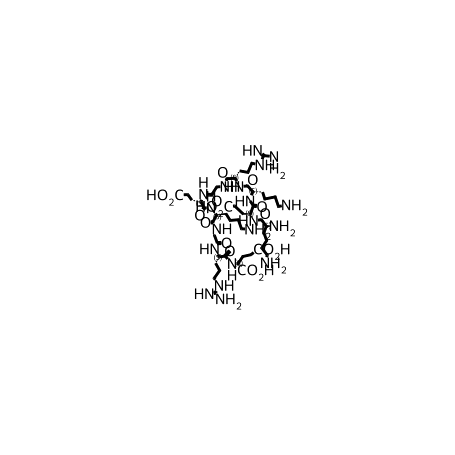 N=C(N)NCCC[C@H](NC(=O)CNC(=O)[C@H](CCCCN)NC(=O)[C@H](CCC(=O)O)NC(=O)CNC(=O)[C@H](CCCNC(=N)N)NC(=O)[C@H](CCCCN)NC(=O)[C@H](CCC(=O)O)NC(=O)[C@@H](N)CCCCN)C(=O)N[C@@H](CCC(=O)O)C(=O)O